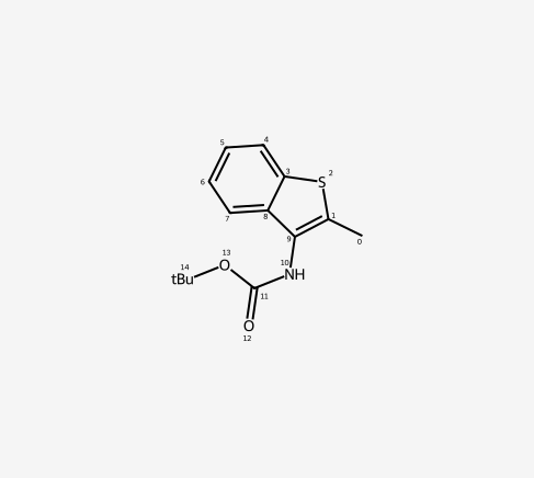 Cc1sc2ccccc2c1NC(=O)OC(C)(C)C